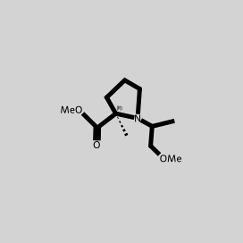 COCC(C)N1CCC[C@]1(C)C(=O)OC